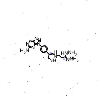 N=C/C(=C\NCC/C(=N/N)NN)c1ccc(-n2nnc3cnc(N)nc32)cc1